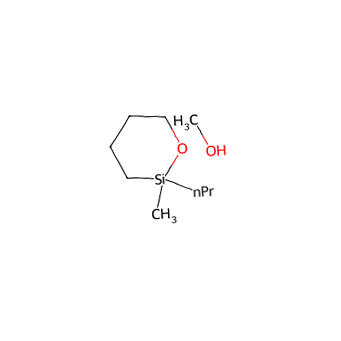 CCC[Si]1(C)CCCCO1.CO